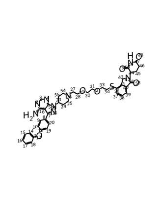 Nc1ncnc2c1c(-c1ccc(Oc3ccccc3)cc1)nn2C1CCN(CCOCCOCCSc2cccc3c2CN(C2CCC(=O)NC2=O)C3=O)CC1